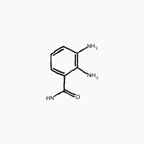 [NH]C(=O)c1cccc(N)c1N